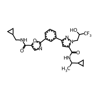 CC(NC(=O)c1cc(-c2cccc(-c3ncc(C(=O)NCC4CC4)o3)c2)nn1CC(O)C(F)(F)F)C1CC1